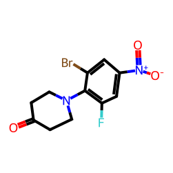 O=C1CCN(c2c(F)cc([N+](=O)[O-])cc2Br)CC1